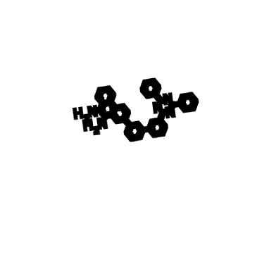 Nc1c(N)c2cc(-c3cccc(-c4cccc(-c5nc(-c6ccccc6)nc(-c6ccccc6)n5)c4)c3)ccc2c2ccccc12